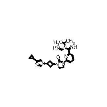 CC(C)N(C=N)C(=N)c1cccc(N2CCN(C3CC(n4cnc(C5CC5)c4)C3)C2=O)n1